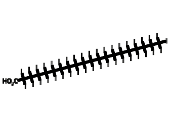 O=C(O)C(I)(I)C(I)(I)C(I)(I)C(I)(I)C(I)(I)C(I)(I)C(I)(I)C(I)(I)C(I)(I)C(I)(I)C(I)(I)C(I)(I)C(I)(I)C(I)(I)C(I)(I)C(I)(I)C(I)(I)C(I)(I)C(I)(I)I